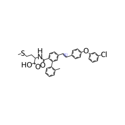 CSCCC(NC(=O)c1ccc(/C=C/c2ccc(Oc3cccc(Cl)c3)cc2)cc1-c1ccccc1C)C(=O)O